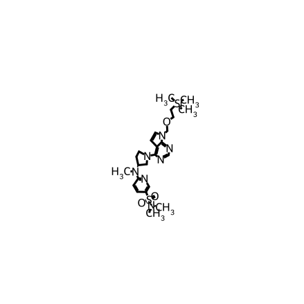 CN(c1ccc(S(=O)(=O)N(C)C)cn1)[C@@H]1CCN(c2ncnc3c2ccn3COCC[Si](C)(C)C)C1